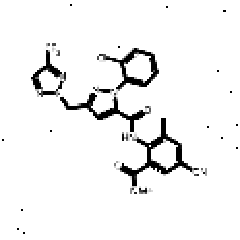 CNC(=O)c1cc(C#N)cc(C)c1NC(=O)c1cc(Cn2ncc(C(F)(F)F)n2)nn1-c1ccccc1Cl